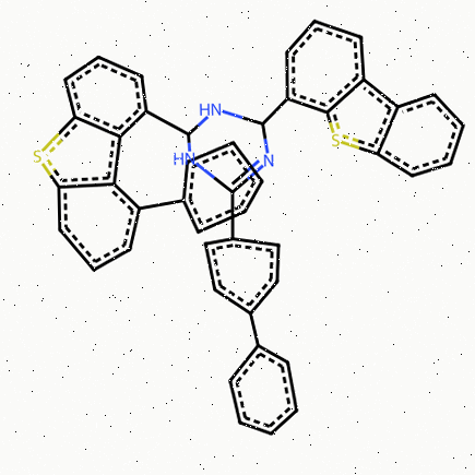 c1ccc(-c2ccc(C3=NC(c4cccc5c4sc4ccccc45)NC(c4cccc5sc6cccc(-c7ccccc7)c6c45)N3)cc2)cc1